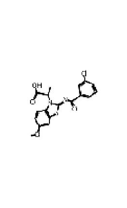 COc1ccc2c(c1)sc(=NC(=O)c1cccc(Cl)c1)n2C(C)C(=O)O